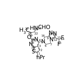 CCCc1cc2c(N3CCn4c(nnc4C(F)F)C3)nc(OC(C)CNC=O)nc2s1